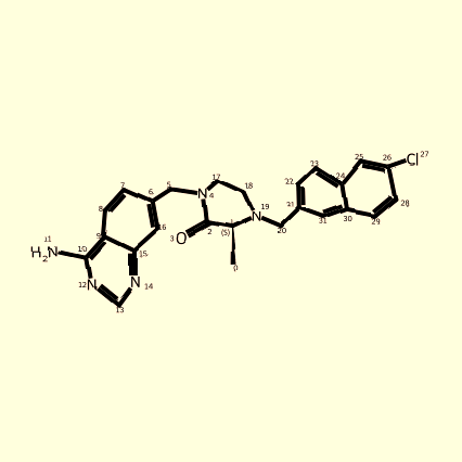 C[C@H]1C(=O)N(Cc2ccc3c(N)ncnc3c2)CCN1Cc1ccc2cc(Cl)ccc2c1